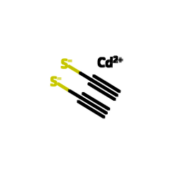 C#C[S-].C#C[S-].[Cd+2]